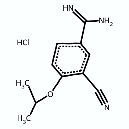 CC(C)Oc1ccc(C(=N)N)cc1C#N.Cl